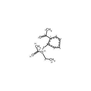 CC(=O)c1ccccc1F.CCOC(C)=O